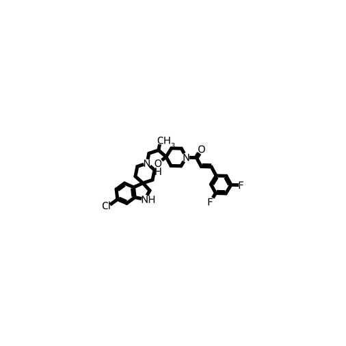 CC(CN1CCC2(CC1)CNc1cc(Cl)ccc12)C1(O)CCN(C(=O)/C=C/c2cc(F)cc(F)c2)CC1